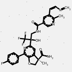 C=N/C=C\c1cc(C(=O)NCC(O)(c2cc3c(c(-c4ccc(F)cc4)n2)OC[C@]3(C)C(N)=O)C(F)(F)F)cnc1C